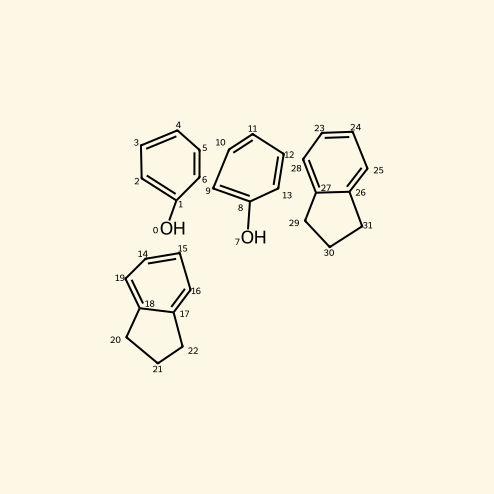 Oc1ccccc1.Oc1ccccc1.c1ccc2c(c1)CCC2.c1ccc2c(c1)CCC2